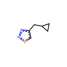 [CH](c1csnn1)C1CC1